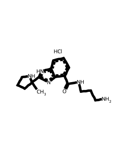 CC1(c2nc3c(C(=O)NCCCN)cccc3[nH]2)CCCN1.Cl